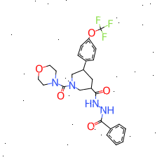 O=C(NNC(=O)C1CC(c2ccc(OC(F)(F)F)cc2)CN(C(=O)N2CCOCC2)C1)c1ccccc1